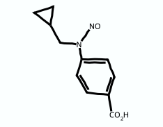 O=NN(CC1CC1)c1ccc(C(=O)O)cc1